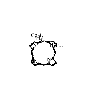 C1=Cc2cc3ccc(cc4nc(cc5ccc(cc1n2)[nH]5)C=C4)[nH]3.P.[Cu].[GaH3]